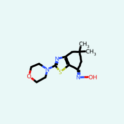 CC1(C)CC(=NO)c2sc(N3CCOCC3)nc2C1